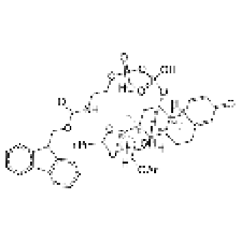 CCCC1O[C@@H]2C[C@H]3[C@@H]4CCC5=CC(=O)C=C[C@]5(C)[C@H]4[C@@H](OP(=O)(O)OP(=O)(O)OCCNC(=O)OCC4c5ccccc5-c5ccccc54)C[C@]3(C)[C@]2(C(O)COC(C)=O)O1